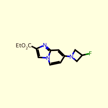 CCOC(=O)c1cn2ccc(N3CC(F)C3)cc2n1